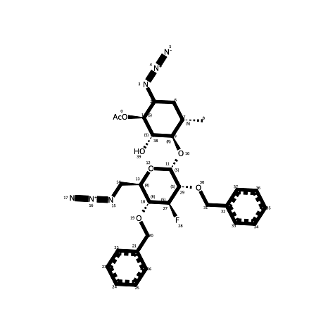 CC(=O)O[C@H]1C(N=[N+]=[N-])C[C@H](C)[C@@H](O[C@H]2O[C@H](CN=[N+]=[N-])[C@@H](OCc3ccccc3)[C@H](F)[C@H]2OCc2ccccc2)[C@@H]1O